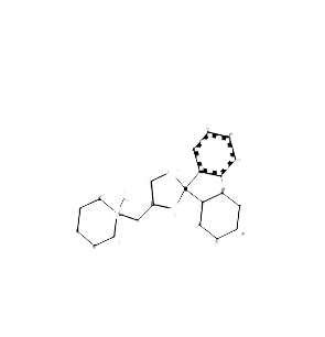 C[N+]1(CC2COC(c3ccccc3)(C3CCCCC3)O2)CCCCC1